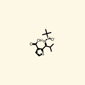 CC(C)/C(=N\[S+]([O-])C(C)(C)C)c1sccc1C(=O)O